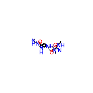 C=CCNC(=O)/C(C#N)=c1\sc(=C=CNc2ccc3c(C(=O)NCCN(C)C)c[nH]c3c2)c(=O)n1CC